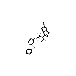 CC(C)C(C(=O)OCc1cccc(Oc2ccccc2)c1)c1scc2cc(Cl)ccc12